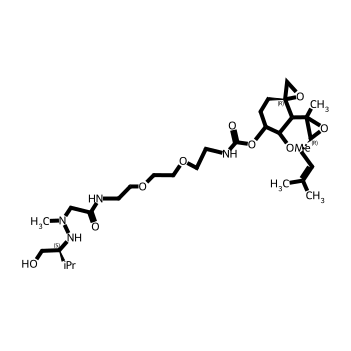 COC1C(OC(=O)NCCOCCOCCNC(=O)CN(C)N[C@H](CO)C(C)C)CC[C@]2(CO2)C1C1(C)O[C@@H]1CC=C(C)C